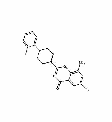 O=c1nc(N2CCC(c3ccccc3F)CC2)sc2c([N+](=O)[O-])cc(C(F)(F)F)cc12